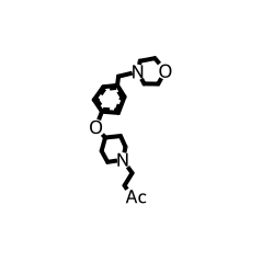 CC(=O)CCN1CCC(Oc2ccc(CN3CCOCC3)cc2)CC1